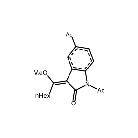 CCCCCCC(OC)=C1C(=O)N(C(C)=O)c2ccc(C(C)=O)cc21